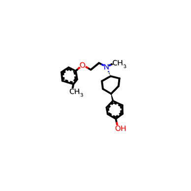 Cc1cccc(OCCN(C)[C@H]2CC[C@H](c3ccc(O)cc3)CC2)c1